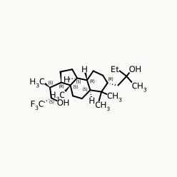 CCC(C)(O)C[C@H]1CC[C@@H]2[C@H](CC[C@]3(C)[C@@H]([C@H](C)[C@H](O)C(F)(F)F)CC[C@@H]23)C1(C)C